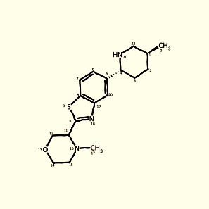 C[C@H]1CC[C@H](c2ccc3sc(C4COCCN4C)nc3c2)NC1